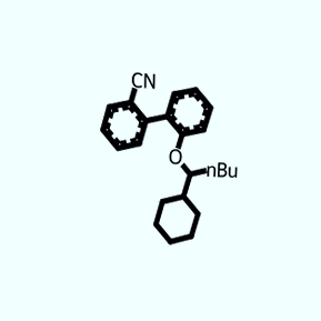 CCCCC(Oc1ccccc1-c1ccccc1C#N)C1CCCCC1